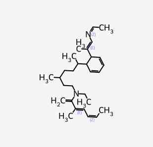 C=C(/C(C)=C/C=C\C)N(CC)CCC(C)CCC(C)C1C=CC=CC1/C(C)=C/N=C\C